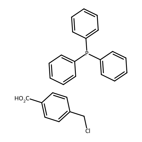 O=C(O)c1ccc(CCl)cc1.c1ccc(P(c2ccccc2)c2ccccc2)cc1